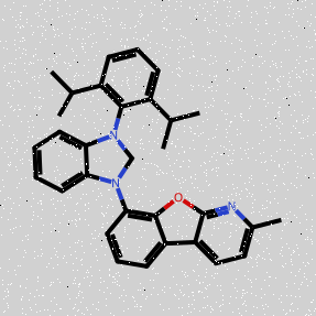 Cc1ccc2c(n1)oc1c(N3CN(c4c(C(C)C)cccc4C(C)C)c4ccccc43)cccc12